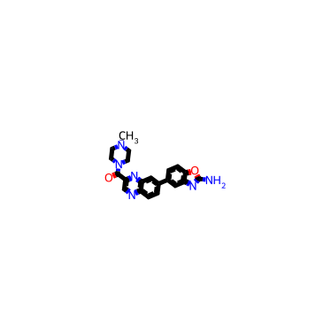 CN1CCN(C(=O)c2cnc3ccc(-c4ccc5oc(N)nc5c4)cc3n2)CC1